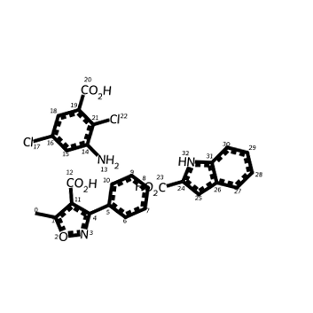 Cc1onc(-c2ccccc2)c1C(=O)O.Nc1cc(Cl)cc(C(=O)O)c1Cl.O=C(O)c1cc2ccccc2[nH]1